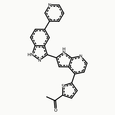 CC(=O)c1ccc(-c2ccnc3[nH]c(-c4n[nH]c5ccc(-c6cccnc6)cc45)cc23)s1